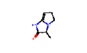 CC1C(=O)NC2=CCCN21